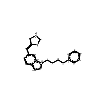 C(=C1CNCS1)c1ccc2ncn(CCCCc3ccccc3)c2c1